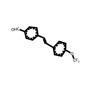 O=Cc1ccc(/C=C/c2ccc(OC(F)(F)F)cc2)cc1